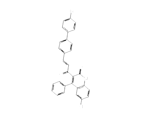 O=C(/C=C/c1ccc(-c2ccc(Br)cc2)cc1)c1c(-c2ccccc2)c2cc(Cl)ccc2[nH]c1=O